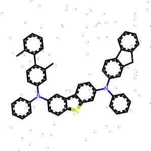 Cc1ccccc1-c1ccc(N(c2ccccc2)c2ccc3sc4cc(N(c5ccccc5)c5ccc6c(c5)Cc5ccccc5-6)ccc4c3c2)cc1C